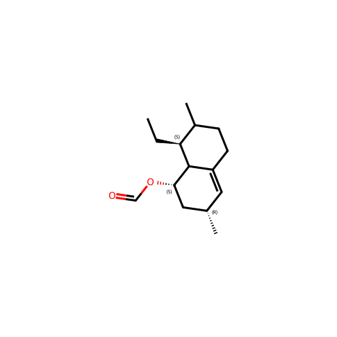 CC[C@H]1C(C)CCC2=C[C@H](C)C[C@H](OC=O)C21